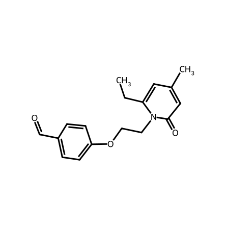 CCc1cc(C)cc(=O)n1CCOc1ccc(C=O)cc1